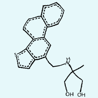 CC(CO)(CO)NCc1cc2c3ccccc3ccc2c2sccc12